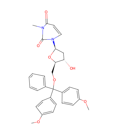 COc1ccc(C(OC[C@H]2O[C@@H](n3ccc(=O)n(C)c3=O)C[C@@H]2O)(c2ccccc2)c2ccc(OC)cc2)cc1